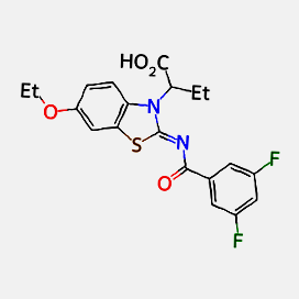 CCOc1ccc2c(c1)sc(=NC(=O)c1cc(F)cc(F)c1)n2C(CC)C(=O)O